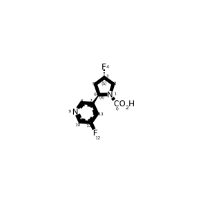 O=C(O)N1C[C@@H](F)C[C@@H]1c1cncc(F)c1